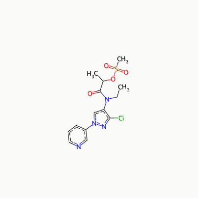 CCN(C(=O)C(C)OS(C)(=O)=O)c1cn(-c2cccnc2)nc1Cl